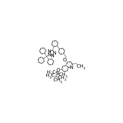 CCc1cc(OCc2ccc(-c3ccccc3-c3nnn(C(c4ccccc4)(c4ccccc4)c4ccccc4)n3)cc2)c2cc(O[Si](C)(C)C(C)(C)C)ccc2n1